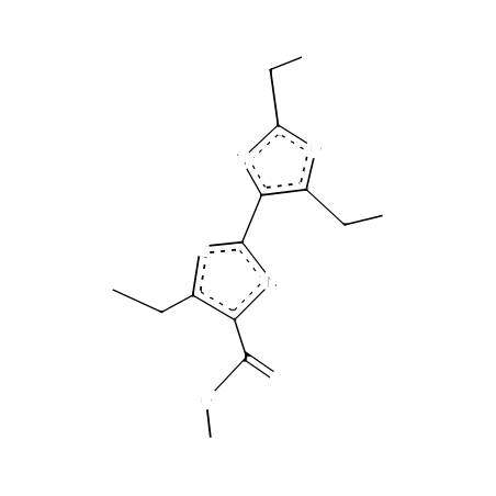 CCc1nc(-c2nc(C(=O)OC)c(CC)o2)c(CC)o1